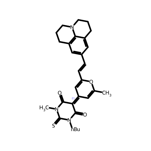 CCCCN1C(=O)/C(=C2\C=C(C)OC(C=Cc3cc4c5c(c3)CCCN5CCC4)=C2)C(=O)N(C)C1=S